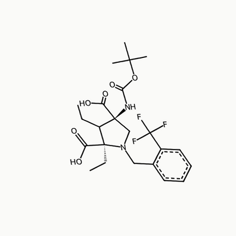 CCC1[C@](CC)(C(=O)O)N(Cc2ccccc2C(F)(F)F)C[C@@]1(NC(=O)OC(C)(C)C)C(=O)O